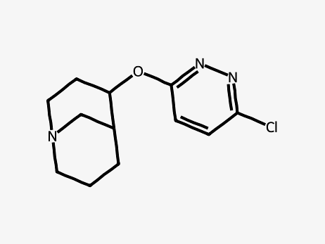 Clc1ccc(OC2CCN3CCCC2C3)nn1